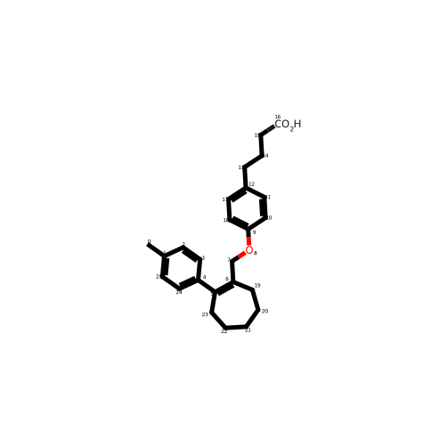 Cc1ccc(C2=C(COc3ccc(CCCC(=O)O)cc3)CCCCC2)cc1